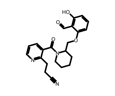 N#CCCc1ncccc1C(=O)N1CCCCC1COc1cccc(O)c1C=O